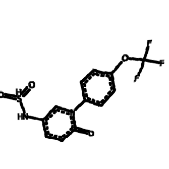 O=c1ccc(N[SH](=O)=O)cn1-c1ccc(OC(F)(F)F)cc1